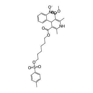 COC(=O)C1=C(C)NC(C)=C(C(=O)OCCCCCCOS(=O)(=O)c2ccc(C)cc2)C1c1ccccc1[N+](=O)[O-]